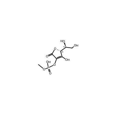 COP(=O)(O)OC1=C(O)[C@@H]([C@@H](O)CO)OC1=O